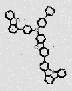 c1ccc(-c2ccc(N(c3ccc(-c4cccc5c4oc4ccccc45)cc3)c3ccc4c(c3)oc3cc(-c5ccc6c7cccc8c9ccccc9n(c6c5)c87)ccc34)cc2)cc1